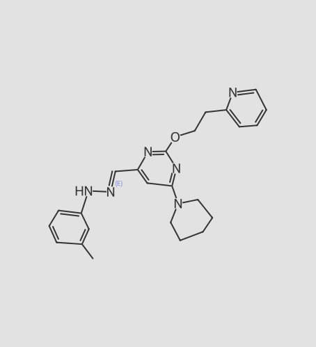 Cc1cccc(N/N=C/c2cc(N3CCCCC3)nc(OCCc3ccccn3)n2)c1